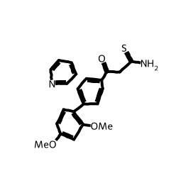 COc1ccc(-c2ccc(C(=O)CC(N)=S)cc2)c(OC)c1.c1ccncc1